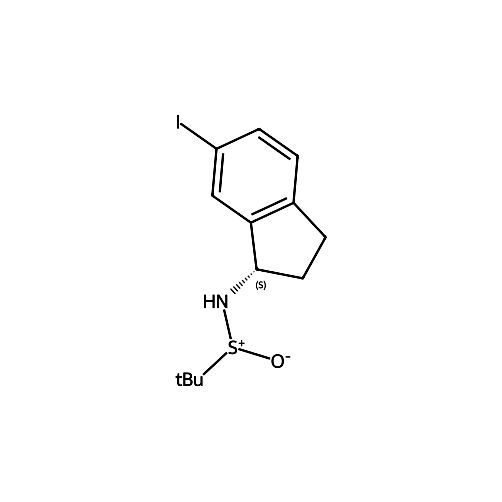 CC(C)(C)[S+]([O-])N[C@H]1CCc2ccc(I)cc21